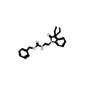 CCC1(CC)C(=O)N(CCNC(=O)OCc2ccccc2)c2ccccc21